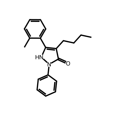 CCCCc1c(-c2ccccc2C)[nH]n(-c2ccccc2)c1=O